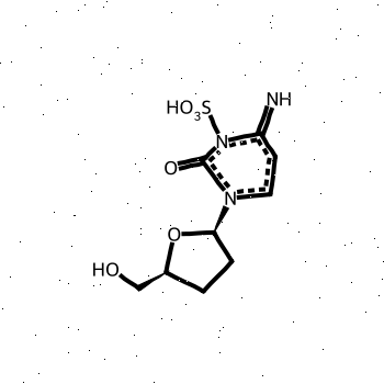 N=c1ccn([C@H]2CC[C@@H](CO)O2)c(=O)n1S(=O)(=O)O